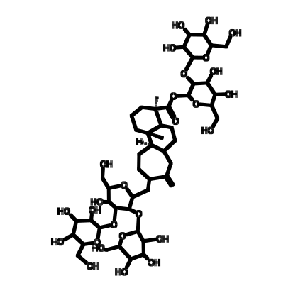 C=C1CC2CCC3[C@](C)(C(=O)OC4OC(CO)C(O)C(O)C4OC4OC(CO)C(O)C(O)C4O)CCC[C@@]3(C)[C@@H]2CCC1CC1OC(CO)C(O)C(OC2OC(CO)C(O)C(O)C2O)C1OC1OC(CO)C(O)C(O)C1O